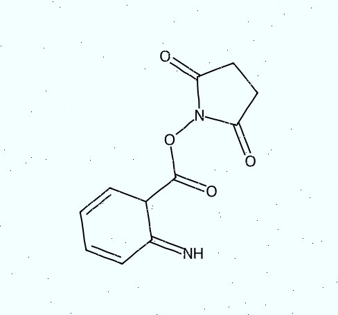 N=C1C=CC=CC1C(=O)ON1C(=O)CCC1=O